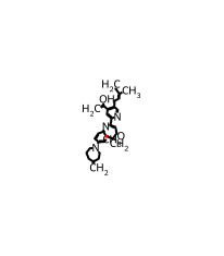 C=C/C(C)=C\Cc1cnc(C2=CC(=O)C(=C)CC(/C=C\C(=C/C)N3CCCC(=C)CC3)=N2)cc1C(=C)O